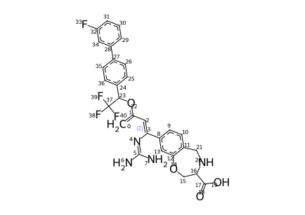 C=C(/C=C(\N=C(N)N)c1ccc2c(c1)OCC(C(=O)O)NC2)OC(c1ccc(-c2cccc(F)c2)cc1)C(F)(F)F